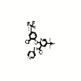 O=C(Oc1ccncc1)c1cc(C(F)(F)F)cnc1Oc1ccc(OC(F)(F)F)cc1Cl